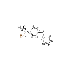 CC(Br)c1ccc(Cc2ccccc2)cc1